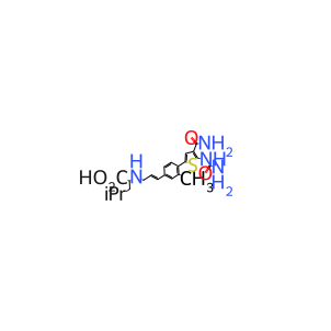 Cc1cc(/C=C/CN[C@H](CC(C)C)C(=O)O)ccc1-c1cc(C(N)=O)c(NC(N)=O)s1